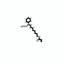 C=CC(=O)OCCCCCCCCN(CCCCCC)C1CCCCC1